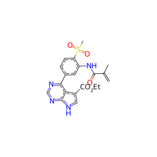 C=C(C)C(=O)Nc1cc(-c2ncnc3[nH]cc(C(=O)OCC)c23)ccc1S(C)(=O)=O